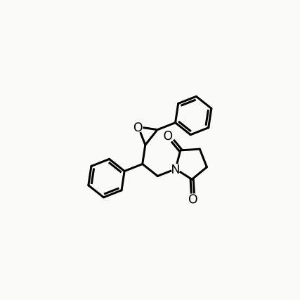 O=C1CCC(=O)N1CC(c1ccccc1)C1OC1c1ccccc1